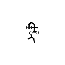 CCC(C)OC(=O)C1(C)CC=CN1